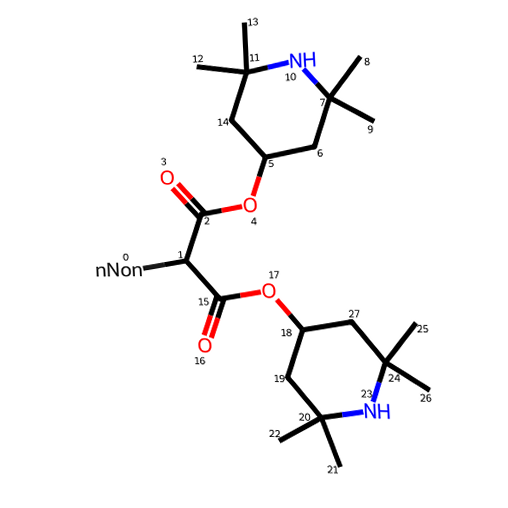 CCCCCCCCCC(C(=O)OC1CC(C)(C)NC(C)(C)C1)C(=O)OC1CC(C)(C)NC(C)(C)C1